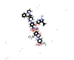 CC(C)c1ccccc1[C@H]1CCCN1C1CC2(CCN(c3ccc(C(=O)NS(=O)(=O)c4cc5c(c([N+](=O)[O-])c4)N[C@@H](C4CCC(C)(O)CC4)CO5)c(Oc4cnc5[nH]cc(C6CC6)c5c4)c3)CC2)C1